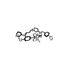 CC(C)(O)c1ccc2c(c1)C(=CCCN1CCC(NCc3ccc(Cl)cc3)C1)c1cccnc1CO2